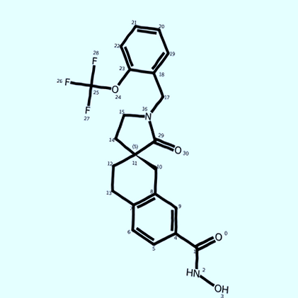 O=C(NO)c1ccc2c(c1)C[C@@]1(CC2)CCN(Cc2ccccc2OC(F)(F)F)C1=O